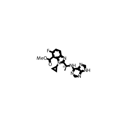 COC(=O)c1c(F)ccc2nc([C@H](C)Nc3ncnc4[nH]cnc34)n(C3CC3)c12